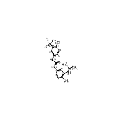 Cc1ccc(NC(=S)Nc2ccc(Cl)c(C(F)(F)F)c2)cc1NC(C)C